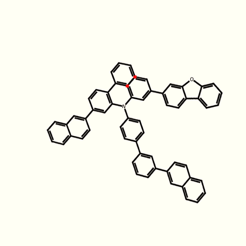 c1ccc(-c2ccc(-c3ccc4ccccc4c3)cc2N(c2ccc(-c3cccc(-c4ccc5ccccc5c4)c3)cc2)c2cccc(-c3ccc4c(c3)oc3ccccc34)c2)cc1